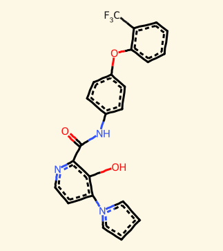 O=C(Nc1ccc(Oc2ccccc2C(F)(F)F)cc1)c1nccc(-n2cccc2)c1O